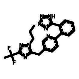 CCCn1nc(C(C)(F)F)nc1Cc1ccc(-c2ccccc2-c2nnn[nH]2)nc1